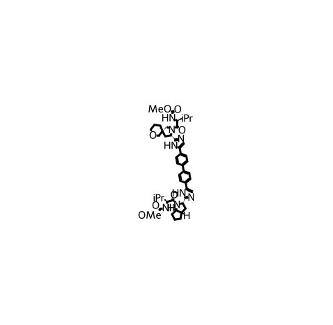 COC(=O)N[C@H](C(=O)N1C[C@]2(CCCOC2)C[C@H]1c1ncc(-c2ccc(-c3ccc(-c4cnc([C@@H]5C[C@@H]6CCC[C@@H]6N5C(=O)[C@@H](NC(=O)OC)C(C)C)[nH]4)cc3)cc2)[nH]1)C(C)C